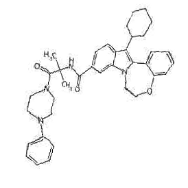 CC(C)(NC(=O)c1ccc2c(C3CCCCC3)c3n(c2c1)CCOc1ccccc1-3)C(=O)N1CCN(c2ccccc2)CC1